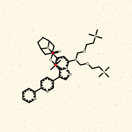 CC(C)(C)OC(=O)N1C2CCC1CC(c1cc(N(COCC[Si](C)(C)C)COCC[Si](C)(C)C)n3ncc(-c4ccc(-c5ccccn5)nc4)c3n1)C2